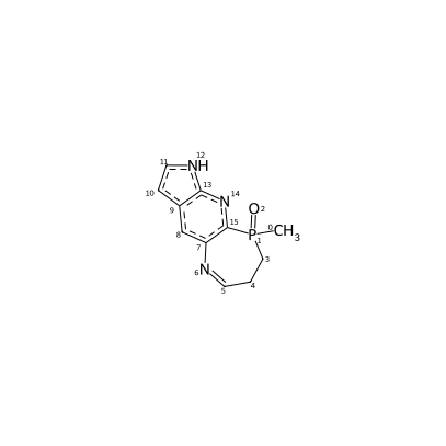 CP1(=O)CCC=Nc2cc3cc[nH]c3nc21